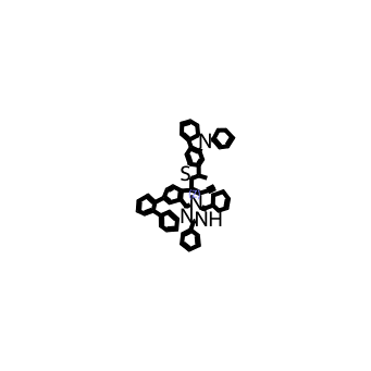 C#C/C=C(/c1ccc(-c2ccccc2-c2ccccc2)cc1C1=NC(c2ccccc2)NC(C2CC=CCC2)=N1)C1Sc2cc3c(cc2C1C)N(C1=CC=CCC1)C1CC=CC=C31